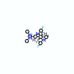 Cc1c2c(-c3ccc(F)cc3)nc3cc(-c4nc(-c5ccccc5)cc(-c5ccccc5)n4)ccc3c2c(C)c2c(-c3ccc(F)cc3)nc3ccccc3c12